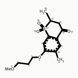 COCCCOc1cc2c(cc1C)C(=O)CC(C)S2(=O)=O